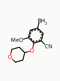 Bc1cc(C#N)c(OC2CCOCC2)c(OC)c1